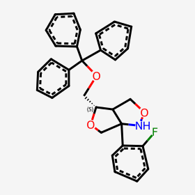 Fc1ccccc1C12CO[C@H](COC(c3ccccc3)(c3ccccc3)c3ccccc3)C1CON2